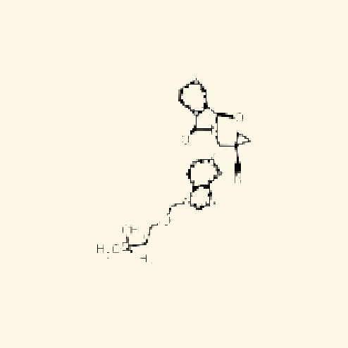 C[Si](C)(C)CCOCn1cnc2cc([C@H](N3C(=O)c4ccccc4C3=O)C3(C#N)CC3)ccc21